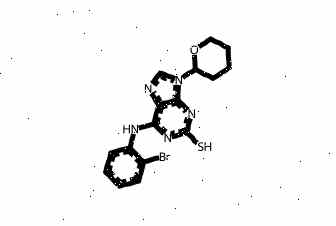 Sc1nc(Nc2ccccc2Br)c2ncn(C3CCCCO3)c2n1